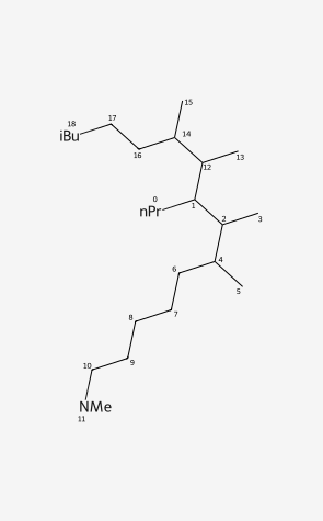 CCCC(C(C)C(C)CCCCCNC)C(C)C(C)CCC(C)CC